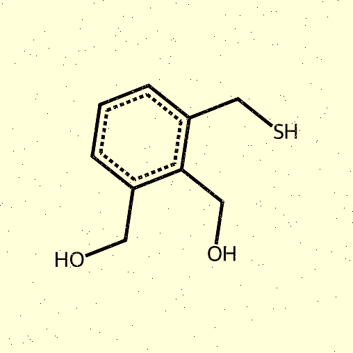 OCc1cccc(CS)c1CO